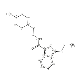 CCCn1nc(C(=O)NCCN2CCC(N)CC2)c2ccccc21